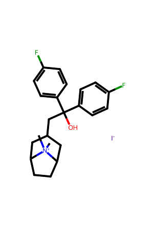 C[N+]1(C)C2CCC1CC(CC(O)(c1ccc(F)cc1)c1ccc(F)cc1)C2.[I-]